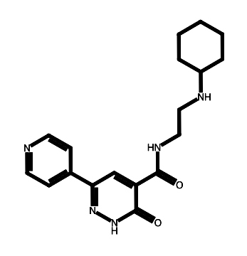 O=C(NCCNC1CCCCC1)c1cc(-c2ccncc2)n[nH]c1=O